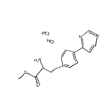 COC(=O)C(N)Cc1ccc(-c2ccncn2)cc1.Cl.Cl